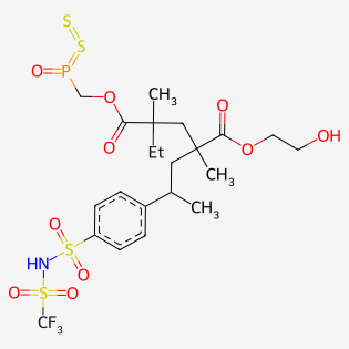 CCC(C)(CC(C)(CC(C)c1ccc(S(=O)(=O)NS(=O)(=O)C(F)(F)F)cc1)C(=O)OCCO)C(=O)OCP(=O)=S=S